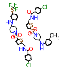 Cc1cccc(NC2CCN(S(=O)(=O)c3ccc(CNC(=O)c4ccc(Cl)cc4)s3)CC2)c1.O=C(NCc1ccc(S(=O)(=O)N2CCC(Nc3cccc(SC(F)(F)F)c3)CC2)s1)c1ccc(Cl)cc1